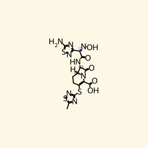 Cc1nc(SC2=C(C(=O)O)N3C(=O)[C@@H](NC(=O)/C(=N\O)c4nsc(N)n4)[C@H]3CC2)ns1